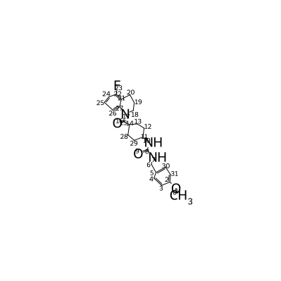 COc1ccc(CNC(=O)NC2CCC(C(=O)N3CCCc4c(F)cccc43)CC2)cc1